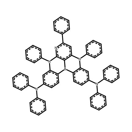 c1ccc(-c2cc3c4c(n2)N(c2ccccc2)c2cc(N(c5ccccc5)c5ccccc5)ccc2B4c2ccc(N(c4ccccc4)c4ccccc4)cc2N3c2ccccc2)cc1